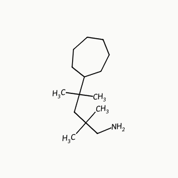 CC(C)(CN)CC(C)(C)C1CCCCCC1